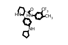 Cc1ccc(NC(=O)[C@H]2CCCN[C@H]2c2ccc(NC3CCCC3)cc2)cc1C(F)(F)F